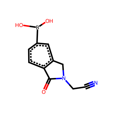 N#CCN1Cc2cc(B(O)O)ccc2C1=O